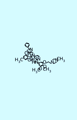 COc1cc(Nc2nccc(N(Cc3csc(-c4ccccc4)n3)C(=O)Oc3c(C)cc(C)cc3C)n2)cc(OCCCN2CCN(C)CC2)c1OC